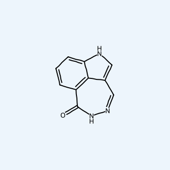 O=C1NN=Cc2c[nH]c3cccc1c23